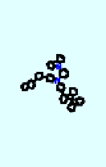 C1=CC(n2c3ccccc3c3ccccc32)=CC(N(c2ccc(-c3cccc(-c4ccc5ccccc5c4)c3)cc2)c2ccc(-c3cccc4c3C3=C(C=CCC3)C4(c3ccccc3)c3ccccc3)cc2)C=C1